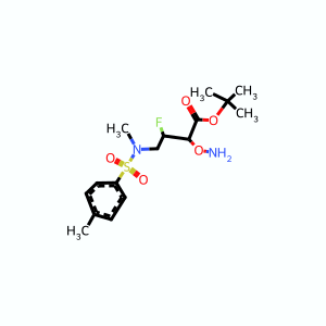 Cc1ccc(S(=O)(=O)N(C)CC(F)C(ON)C(=O)OC(C)(C)C)cc1